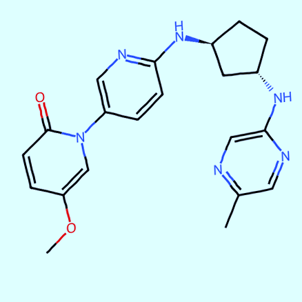 COc1ccc(=O)n(-c2ccc(N[C@H]3CC[C@H](Nc4cnc(C)cn4)C3)nc2)c1